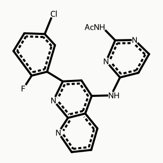 CC(=O)Nc1nccc(Nc2cc(-c3cc(Cl)ccc3F)nc3ncccc23)n1